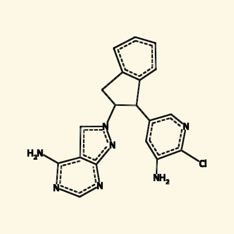 Nc1cc(C2c3ccccc3CC2n2cc3c(N)ncnc3n2)cnc1Cl